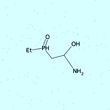 CC[PH](=O)CC(N)O